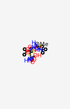 CON=C(C(=O)NC1C(=O)N2C(C(=O)OC(c3ccccc3)c3ccccc3)=C(C=CSc3n[nH]c(=O)c(=O)n3CCO)CSC12)c1csc(NC(c2ccccc2)(c2ccccc2)c2ccccc2)n1